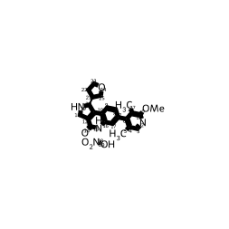 COc1ncc(C)c(-c2ccc3c4c(c(=O)[nH]c3c2)CN[C@H]4C2CCOC2)c1C.O=[N+]([O-])O